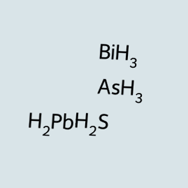 S.[AsH3].[BiH3].[PbH2]